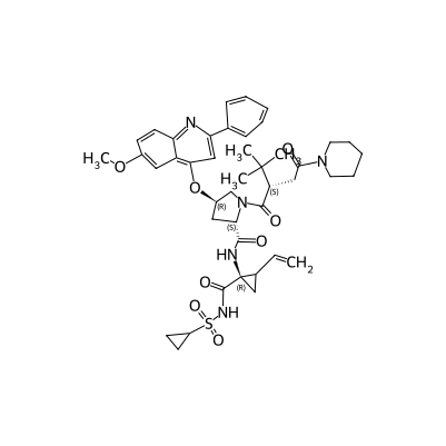 C=CC1C[C@]1(NC(=O)[C@@H]1C[C@@H](Oc2cc(-c3ccccc3)nc3ccc(OC)cc23)CN1C(=O)[C@@H](CC(=O)N1CCCCC1)C(C)(C)C)C(=O)NS(=O)(=O)C1CC1